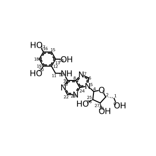 OC[C@H]1OC(n2cnc3c(NCc4c(O)cc(O)cc4O)ncnc32)[C@H](O)[C@@H]1O